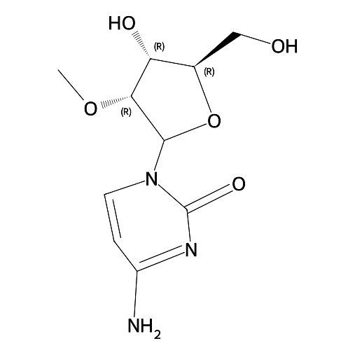 CO[C@H]1C(n2ccc(N)nc2=O)O[C@H](CO)[C@H]1O